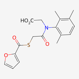 Cc1ccc(C)c(N(CC(=O)O)C(=O)CSC(=O)c2ccco2)c1C